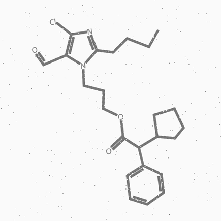 CCCCc1nc(Cl)c(C=O)n1CCCOC(=O)C(c1ccccc1)C1CCCC1